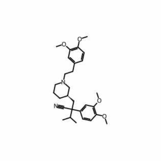 COc1ccc(CCN2CCC[C@H](CC(C#N)(c3ccc(OC)c(OC)c3)C(C)C)C2)cc1OC